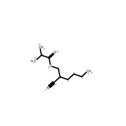 CCCCC(C#N)COC(=O)C(C)C